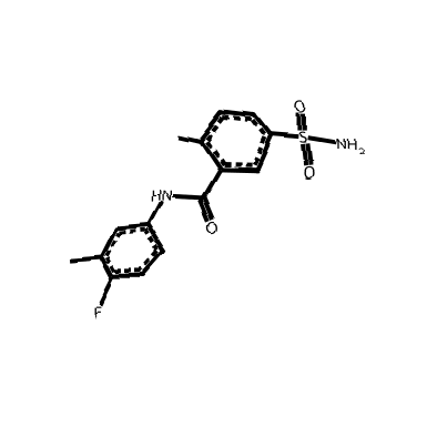 Cc1cc(NC(=O)c2cc(S(N)(=O)=O)ccc2C)ccc1F